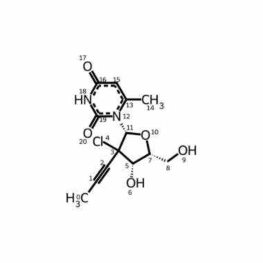 CC#CC1(Cl)[C@@H](O)[C@@H](CO)O[C@H]1n1c(C)cc(=O)[nH]c1=O